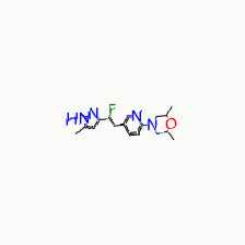 Cc1cc(C(F)=Cc2ccc(N3CC(C)OC(C)C3)nc2)n[nH]1